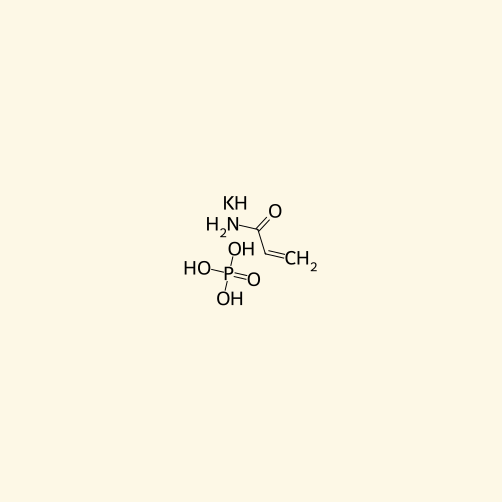 C=CC(N)=O.O=P(O)(O)O.[KH]